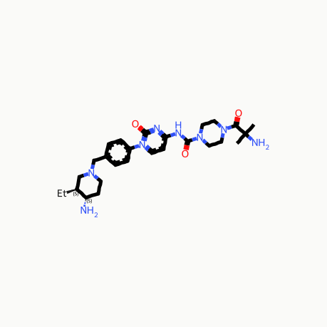 CC[C@H]1CN(Cc2ccc(-n3ccc(NC(=O)N4CCN(C(=O)C(C)(C)N)CC4)nc3=O)cc2)CC[C@@H]1N